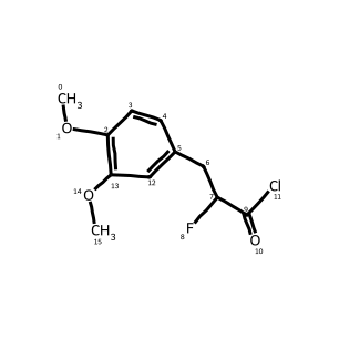 COc1ccc(CC(F)C(=O)Cl)cc1OC